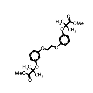 COC(=O)C(C)(C)Oc1cccc(OCCOc2cccc(OC(C)(C)C(=O)OC)c2)c1